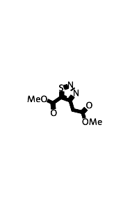 COC(=O)Cc1nnsc1C(=O)OC